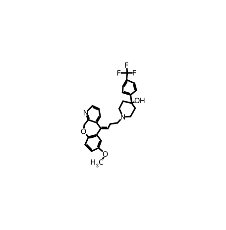 COc1ccc2c(c1)/C(=C/CCN1CCC(O)(c3ccc(C(F)(F)F)cc3)CC1)c1cccnc1CO2